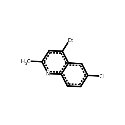 CCc1cc(C)nc2ccc(Cl)cc12